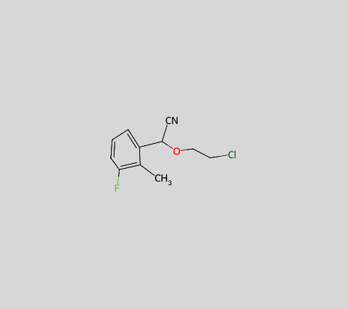 Cc1c(F)cccc1C(C#N)OCCCl